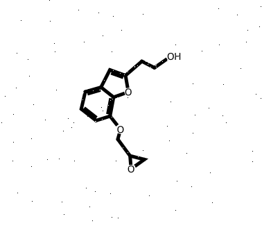 OCCc1cc2cccc(OCC3CO3)c2o1